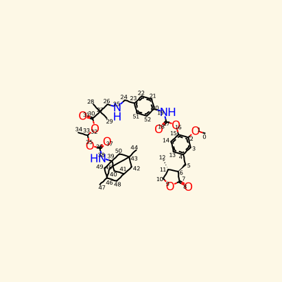 COc1cc(C[C@H]2C(=O)OC[C@@H]2C)ccc1OC(=O)Nc1ccc(CNCC(C)(C)C(=O)OC(C)OC(=O)NC23CC4CC(C)(CC(C)(C4)C2)C3)cc1